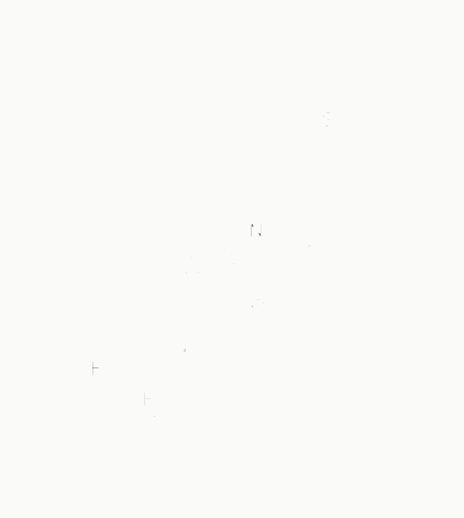 CSC1CCN(C(=O)OC2CC(F)(F)C2)CC1